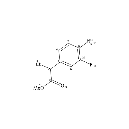 CCC(C(=O)OC)c1ccc(N)c(F)c1